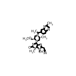 COC[C@H]1CN(C(C)c2ccc3ncc(C)nc3c2)[C@H](C)CN1c1nc(=O)n(C)c2c1nc(CC#N)n2C